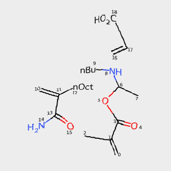 C=C(C)C(=O)OC(C)NCCCC.C=C(CCCCCCCC)C(N)=O.C=CC(=O)O